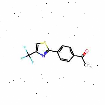 CC(=O)c1ccc(-c2nc(C(F)(F)F)cs2)cc1